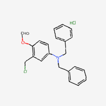 Cl.O=COc1ccc(N(Cc2ccccc2)Cc2ccccc2)cc1CCl